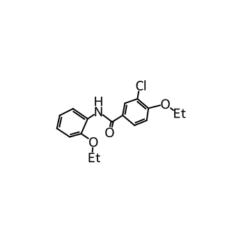 CCOc1ccc(C(=O)Nc2ccccc2OCC)cc1Cl